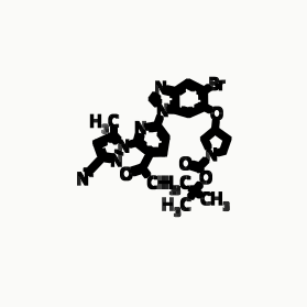 CC(=O)c1ccc(-n2cnc3cc(Br)c(OC4CCN(C(=O)OC(C)(C)C)C4)cc32)nc1-n1nc(C#N)cc1C